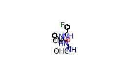 CC(C)(CNC(=O)c1ccc(-c2ccccc2C#N)nc1NCCc1cccc(F)c1)NC=O